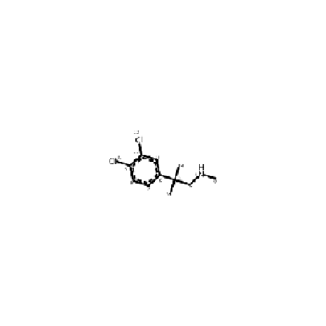 CNCC(C)(C)c1ccc(Cl)c(Cl)c1